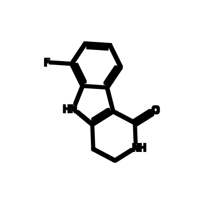 O=C1NCCc2[nH]c3c(F)cccc3c21